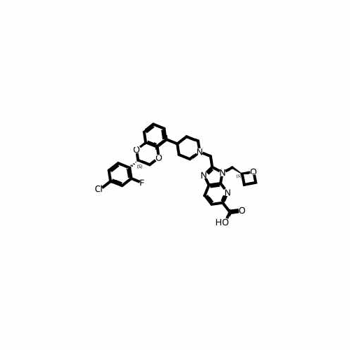 O=C(O)c1ccc2nc(CN3CCC(c4cccc5c4OC[C@H](c4ccc(Cl)cc4F)O5)CC3)n(C[C@@H]3CCO3)c2n1